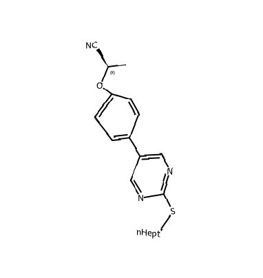 CCCCCCCSc1ncc(-c2ccc(O[C@H](C)C#N)cc2)cn1